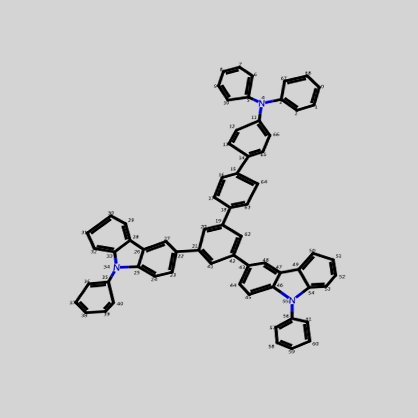 c1ccc(N(c2ccccc2)c2ccc(-c3ccc(-c4cc(-c5ccc6c(c5)c5ccccc5n6-c5ccccc5)cc(-c5ccc6c(c5)c5ccccc5n6-c5ccccc5)c4)cc3)cc2)cc1